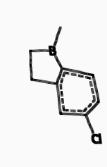 CB1CCc2cc(Cl)ccc21